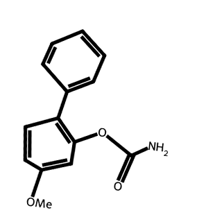 COc1ccc(-c2ccccc2)c(OC(N)=O)c1